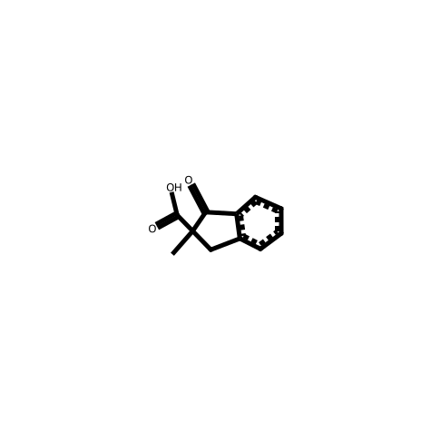 CC1(C(=O)O)Cc2ccccc2C1=O